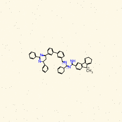 C[C@H]1C2=CCCC=C2c2cc(C(=N)/N=C(\N=C\c3cccc(-c4cccc(C5=NC(c6ccccc6)=NC(c6ccccc6)C5)c4)c3)C3C=CC=CC3)ccc21